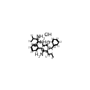 CC[C@H](C)[C@@H](C(N)=O)N(Cc1ccccc1)C(=O)[C@H](Cc1ccccc1)NC(=O)[C@@H](N)C(C)C.Cl